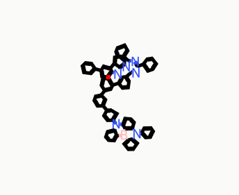 c1ccc(-c2ccc3c(c2)c2ccccc2n3-c2c(-c3cccc(-c4cccc(-c5ccc(N6c7ccccc7B7c8ccccc8N(c8ccccc8)c8cccc6c87)cc5)c4)c3)cccc2-c2nc(-c3ccccc3)nc(-c3ccccc3)n2)cc1